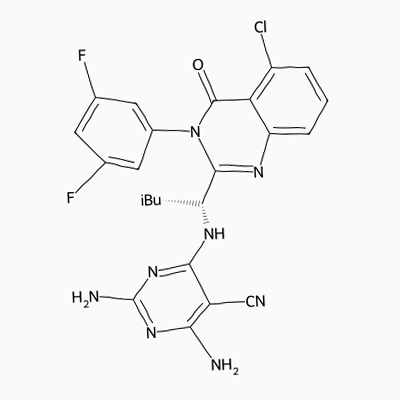 CC[C@@H](C)[C@@H](Nc1nc(N)nc(N)c1C#N)c1nc2cccc(Cl)c2c(=O)n1-c1cc(F)cc(F)c1